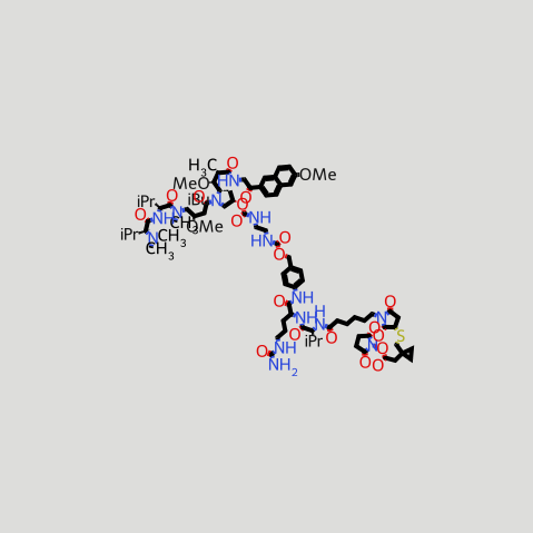 CC[C@H](C)C([C@@H](CC(=O)N1C[C@@H](OC(=O)NCCNC(=O)OCc2ccc(NC(=O)C(CCCNC(N)=O)NC(=O)[C@@H](NC(=O)CCCCCN3C(=O)CC(SCC4(CC(=O)ON5C(=O)CCC5=O)CC4)C3=O)C(C)C)cc2)C[C@H]1[C@H](OC)[C@@H](C)C(=O)NCC(=O)c1ccc2cc(OC)ccc2c1)OC)N(C)C(=O)[C@@H](NC(=O)[C@H](C(C)C)N(C)C)C(C)C